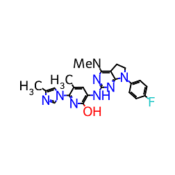 CNc1nc(Nc2cc(C)c(-n3cnc(C)c3)nc2O)nc2c1CCN2c1ccc(F)cc1